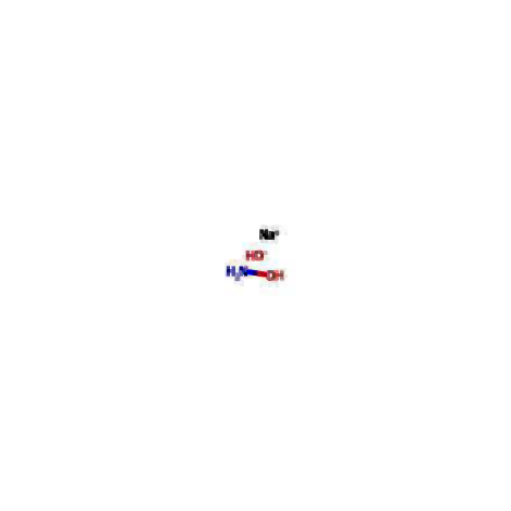 NO.[Na+].[OH-]